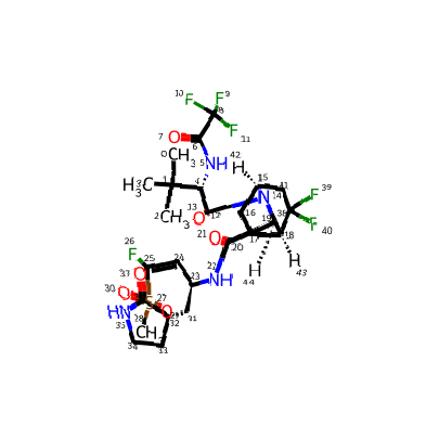 CC(C)(C)[C@H](NC(=O)C(F)(F)F)C(=O)N1[C@H]2CC[C@@H]([C@H]1C(=O)N[C@H](/C=C(/F)S(C)(=O)=O)C[C@@H]1CCNC1=O)C(F)(F)C2